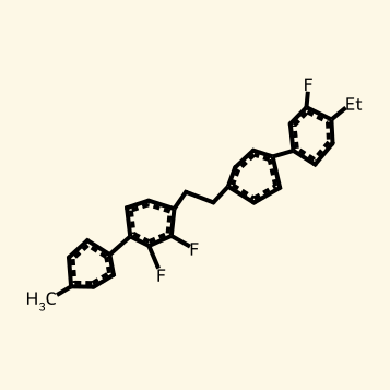 CCc1ccc(-c2ccc(CCc3ccc(-c4ccc(C)cc4)c(F)c3F)cc2)cc1F